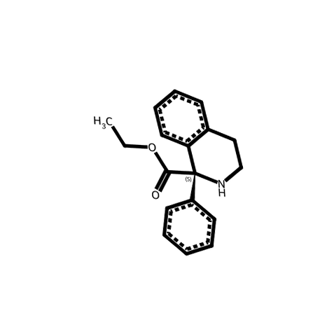 CCOC(=O)[C@@]1(c2ccccc2)NCCc2ccccc21